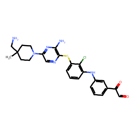 CC1(CN)CCN(c2cnc(Sc3cccc(Nc4cccc(C(=O)C=O)c4)c3Cl)c(N)n2)CC1